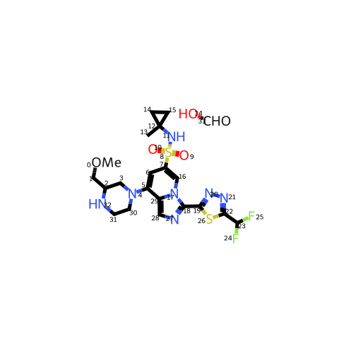 COCC1CN(c2cc(S(=O)(=O)NC3(C)CC3)cn3c(-c4nnc(C(F)F)s4)ncc23)CCN1.O=CO